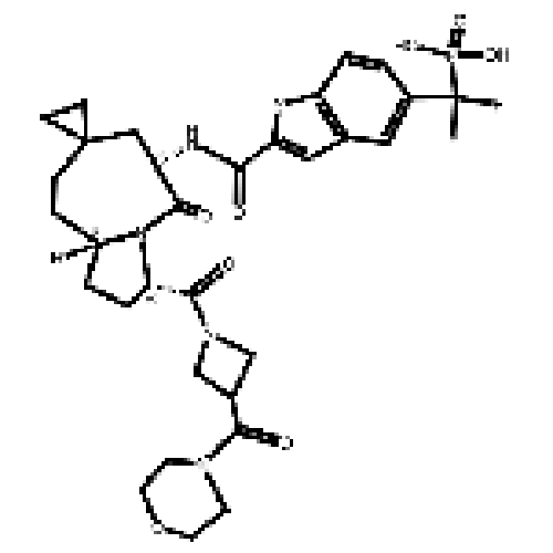 O=C(N[C@H]1CC2(CC[C@H]3CC[C@@H](C(=O)N4CC(C(=O)N5CCOCC5)C4)N3C1=O)CC2)c1cc2cc(C(F)(F)P(=O)(O)O)ccc2s1